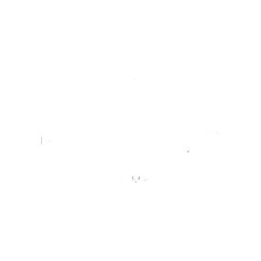 COc1cc(C)cc(Br)c1O[Si](C)(C)C(C)(C)C